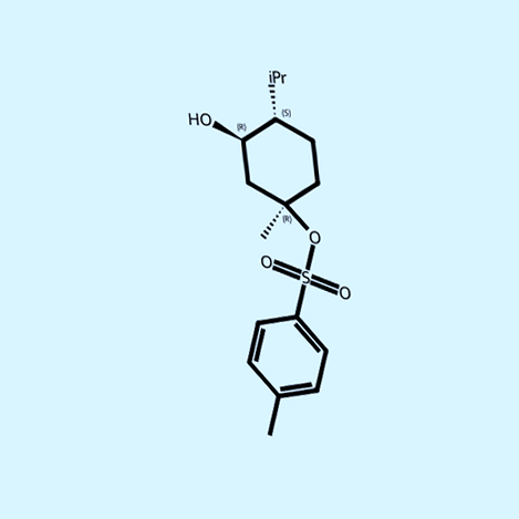 Cc1ccc(S(=O)(=O)O[C@]2(C)CC[C@@H](C(C)C)[C@H](O)C2)cc1